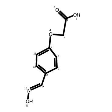 O=C(O)COc1ccc(C=NO)cc1